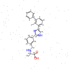 Cc1c(-c2ccccc2)cccc1-c1c[nH]c(-c2cccc(CNC(C)C(=O)O)c2)n1